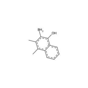 Bc1c(C)c(C)c2ccccc2c1O